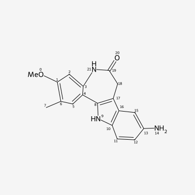 COc1cc2c(cc1C)-c1[nH]c3ccc(N)cc3c1CC(=O)N2